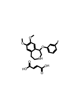 COc1cc2c(cc1OC)C(Oc1cccc(F)c1)CNCC2.O=C(O)C=CC(=O)O